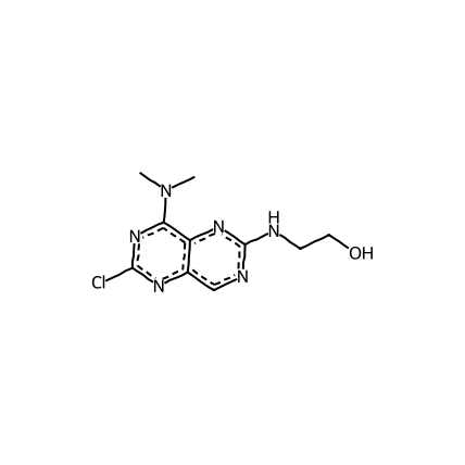 CN(C)c1nc(Cl)nc2cnc(NCCO)nc12